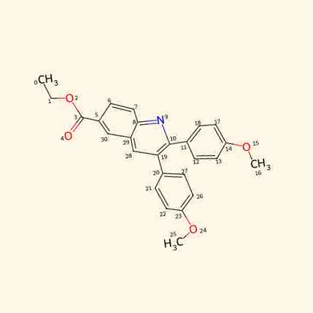 CCOC(=O)c1ccc2nc(-c3ccc(OC)cc3)c(-c3ccc(OC)cc3)cc2c1